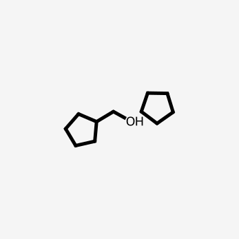 C1CCCC1.OCC1CCCC1